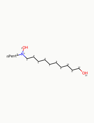 CCCCCN(O)CCCCCCCCCCO